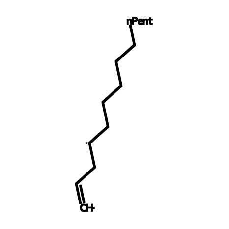 [CH]=CC[CH]CCCCCCCCCC